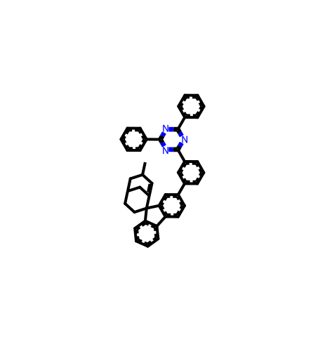 CC1C=C2CC(CCC23c2ccccc2-c2ccc(-c4cccc(-c5nc(-c6ccccc6)nc(-c6ccccc6)n5)c4)cc23)C1